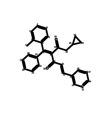 Cc1ccccc1/C(=C(/C(=O)/C=C/c1cncnc1)C(=O)CC1CC1)c1ccccc1